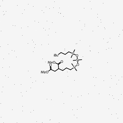 CCC(C)CCC[Si](C)(C)O[Si](C)(C)O[Si](C)(C)CCCC(CC(=O)OC)C(=O)OC